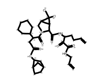 C=CCCC(NC(=O)C1C2C(CN1C(=O)C(CC(=O)OC1CC3CCC1C3)C1CCCCC1)C2(Cl)Cl)C(=O)C(=O)NCC=C